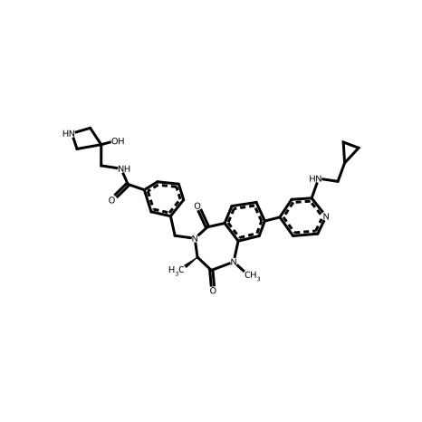 C[C@@H]1C(=O)N(C)c2cc(-c3ccnc(NCC4CC4)c3)ccc2C(=O)N1Cc1cccc(C(=O)NCC2(O)CNC2)c1